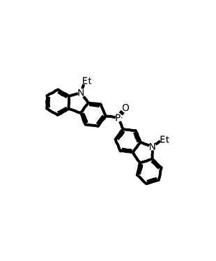 CCn1c2ccccc2c2ccc([P](=O)c3ccc4c5ccccc5n(CC)c4c3)cc21